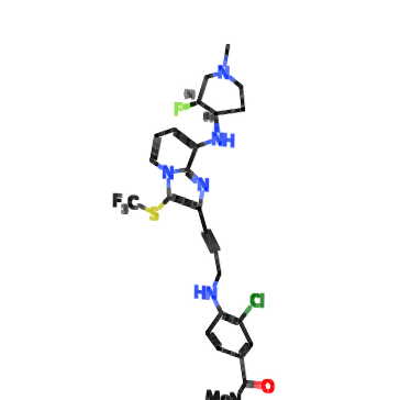 CNC(=O)c1ccc(NCC#Cc2nc3c(N[C@@H]4CCN(C)C[C@@H]4F)cccn3c2SC(F)(F)F)c(Cl)c1